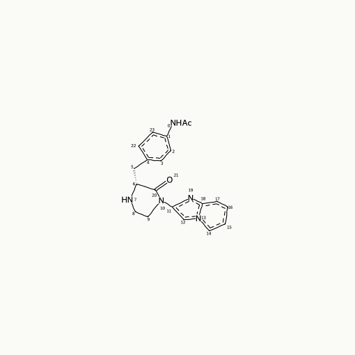 CC(=O)Nc1ccc(C[C@H]2NCCN(c3cn4ccccc4n3)C2=O)cc1